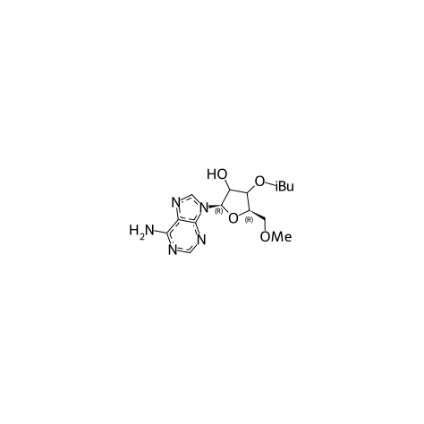 CCC(C)OC1C(O)[C@H](n2cnc3c(N)ncnc32)O[C@@H]1COC